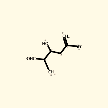 C=C(CC(O)C(C)[C]=O)C(C)C